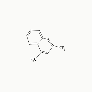 FC(F)(F)c1[c]c2ccccc2c(C(F)(F)F)c1